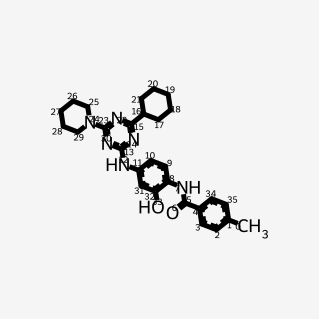 Cc1ccc(C(=O)Nc2ccc(Nc3nc(C4CCCCC4)nc(N4CCCCC4)n3)cc2O)cc1